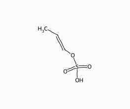 CC=COS(=O)(=O)O